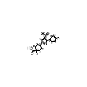 Cc1ccc(-c2nn(C3CCC(C)(C(=O)O)CC3)cc2[N+](=O)[O-])nc1